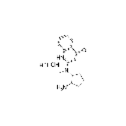 CN(c1cc(=O)c2ccccc2[nH]1)C1CCCC1N.Cl.Cl